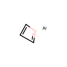 B1=CC=C1.[Ar]